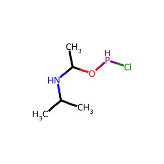 CC(C)NC(C)OPCl